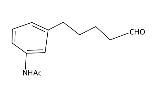 CC(=O)Nc1cccc(CCCCC=O)c1